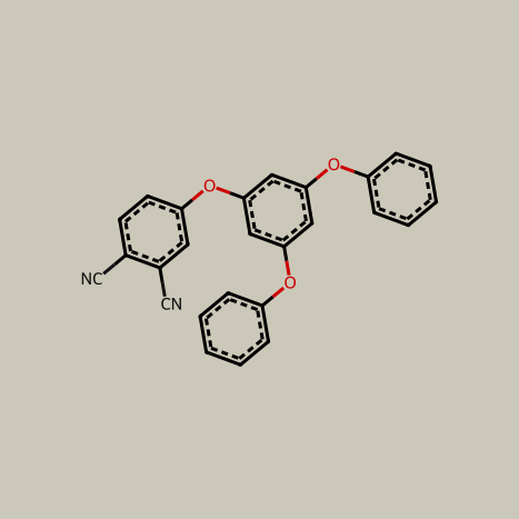 N#Cc1ccc(Oc2cc(Oc3ccccc3)cc(Oc3ccccc3)c2)cc1C#N